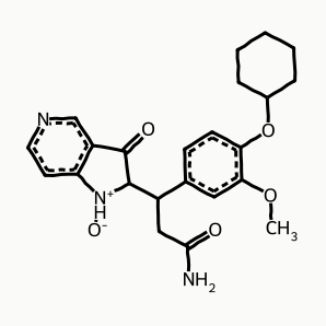 COc1cc(C(CC(N)=O)C2C(=O)c3cnccc3[NH+]2[O-])ccc1OC1CCCCC1